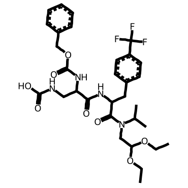 CCOC(CN(C(=O)C(Cc1ccc(C(F)(F)F)cc1)NC(=O)C(CNC(=O)O)NC(=O)OCc1ccccc1)C(C)C)OCC